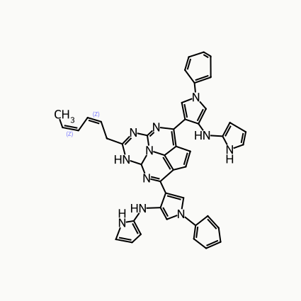 C/C=C\C=C/CC1=Nc2nc(-c3cn(-c4ccccc4)cc3Nc3ccc[nH]3)c3ccc4c-3n2C(N=C4c2cn(-c3ccccc3)cc2Nc2ccc[nH]2)N1